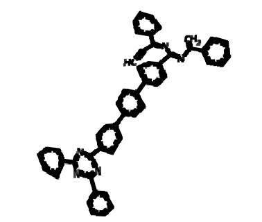 C#C/C(=N\C(=N/C(=C)c1ccccc1)c1ccc(-c2ccc(-c3ccc(-c4nc(-c5ccccc5)nc(-c5ccccc5)n4)cc3)cc2)cc1)c1ccccc1